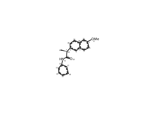 COc1ccc2cc([C@H](C)C(=O)Nc3ccccc3)ccc2c1